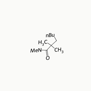 CCCCCC(C)(C)C(=O)NC